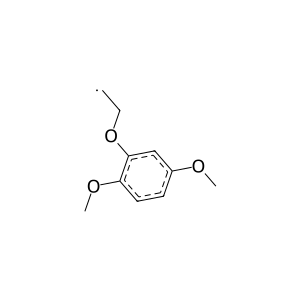 [CH2]COc1cc(OC)ccc1OC